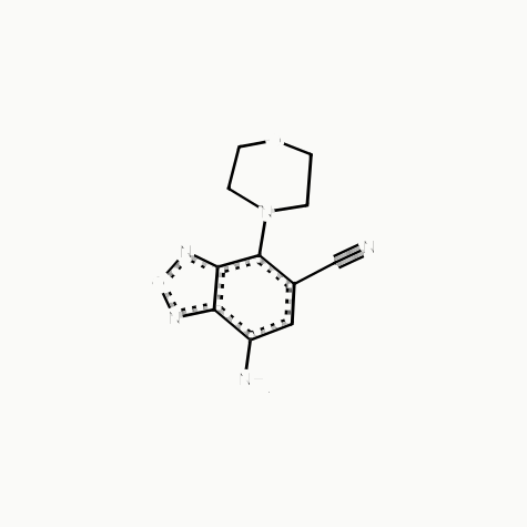 N#Cc1cc(N)c2nonc2c1N1CCOCC1